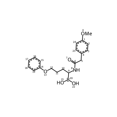 COc1ccc(CC(=O)NC(CCCOc2ccccc2)B(O)O)cc1